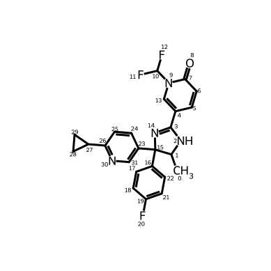 CC1NC(c2ccc(=O)n(C(F)F)c2)=NC1(c1ccc(F)cc1)c1ccc(C2CC2)nc1